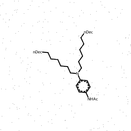 CCCCCCCCCCCCCCCCN(CCCCCCCCCCCCCCCC)c1ccc(NC(C)=O)cc1